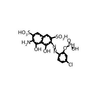 Nc1c(S(=O)(=O)O)cc2cc(S(=O)(=O)O)c(N=Nc3ccc(Cl)cc3O[PH](=O)O)c(O)c2c1O